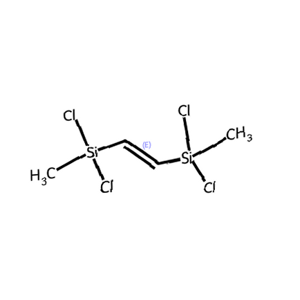 C[Si](Cl)(Cl)/C=C/[Si](C)(Cl)Cl